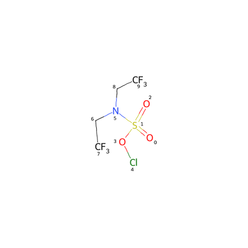 O=S(=O)(OCl)N(CC(F)(F)F)CC(F)(F)F